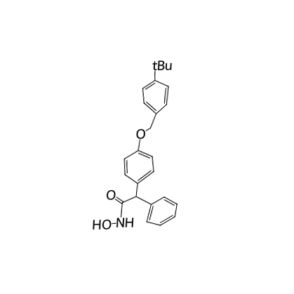 CC(C)(C)c1ccc(COc2ccc(C(C(=O)NO)c3ccccc3)cc2)cc1